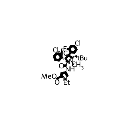 CCn1cc(NC(=O)[C@H]2[C@H](c3cccc(Cl)c3F)[C@@](C#N)(c3ccc(Cl)cc3F)[C@H](CC(C)(C)C)N2C)cc1C(=O)OC